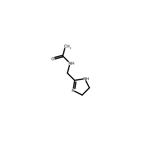 CC(=O)NCC1=N[CH]CN1